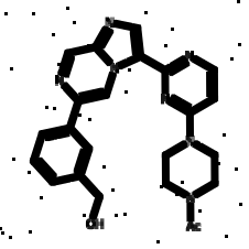 CC(=O)N1CCN(c2ccnc(-c3cnc4cnc(-c5cccc(CO)c5)cn34)n2)CC1